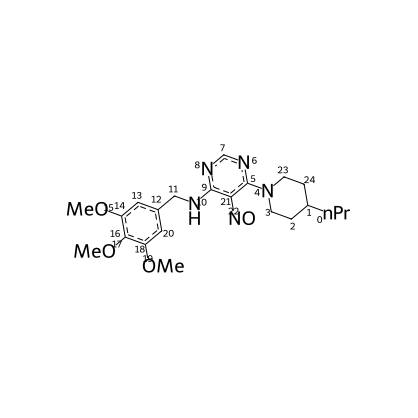 CCCC1CCN(c2ncnc(NCc3cc(OC)c(OC)c(OC)c3)c2N=O)CC1